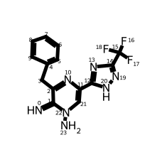 N=c1c(Cc2ccccc2)nc(-c2nc(C(F)(F)F)n[nH]2)cn1N